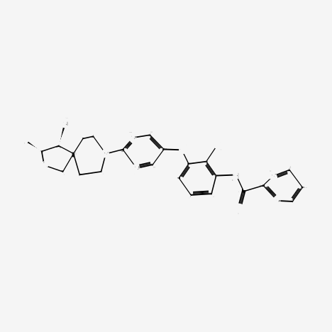 C[C@@H]1OCC2(CCN(c3ncc(Sc4cccc(NC(=O)c5ncccn5)c4Cl)cn3)CC2)[C@@H]1N